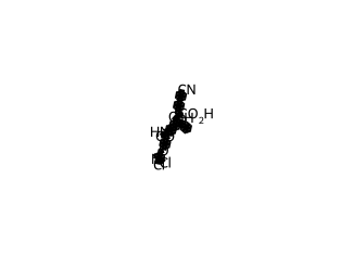 N#Cc1ccc(-c2ccc(CC(NC(=O)C3Cc4cc5c(cc4CN3C(=O)c3ccccc3)OC(c3ccc(OCc4cnc(Cl)c(Cl)c4)cc3)C(=O)N5)C(=O)O)cc2)cc1